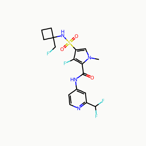 Cn1cc(S(=O)(=O)NC2(CF)CCC2)c(F)c1C(=O)Nc1ccnc(C(F)F)c1